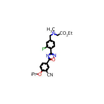 CCOC(=O)CN(C)Cc1ccc(-c2noc(-c3ccc(OC(C)C)c(C#N)c3)n2)c(F)c1